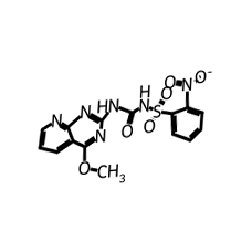 COc1nc(NC(=O)NS(=O)(=O)c2ccccc2[N+](=O)[O-])nc2ncccc12